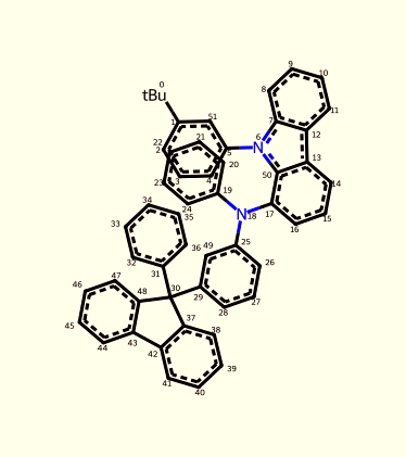 CC(C)(C)c1cccc(-n2c3ccccc3c3cccc(N(c4ccccc4)c4cccc(C5(c6ccccc6)c6ccccc6-c6ccccc65)c4)c32)c1